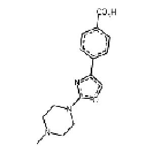 CN1CCN(c2nc(-c3ccc(C(=O)O)cc3)co2)CC1